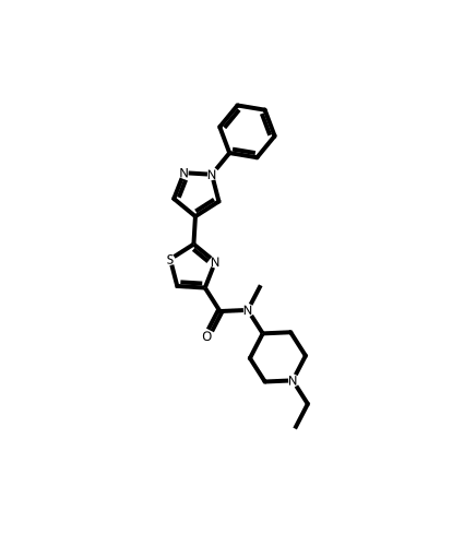 CCN1CCC(N(C)C(=O)c2csc(-c3cnn(-c4ccccc4)c3)n2)CC1